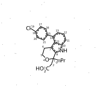 CCCC1(CC(=O)O)OCCc2c1[nH]c1cccc(-c3ccc(Cl)cc3)c21